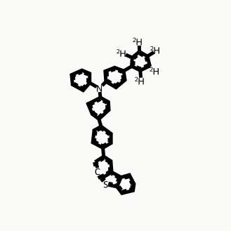 [2H]c1c([2H])c([2H])c(-c2ccc(N(c3ccccc3)c3ccc(-c4ccc(-c5ccc6sc7ccccc7c6c5)cc4)cc3)cc2)c([2H])c1[2H]